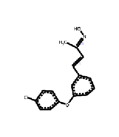 CC(/C=C/c1cccc(Oc2ccc(Cl)cc2)c1)=N\O